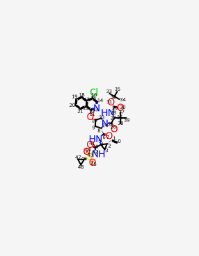 C=C[C@@H]1C[C@]1(NC(=O)[C@@H]1C[C@@H](Oc2ncc(Cl)c3ccccc23)CN1C(=O)[C@@H](NC(=O)OC(C)(C)C)C(C)(C)C)C(=O)NS(=O)(=O)C1CC1